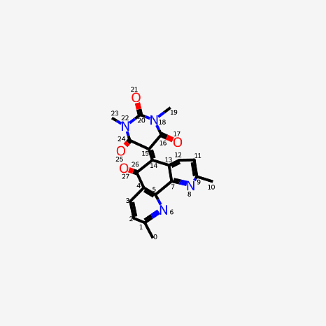 Cc1ccc2c(n1)-c1nc(C)ccc1C(=C1C(=O)N(C)C(=O)N(C)C1=O)C2=O